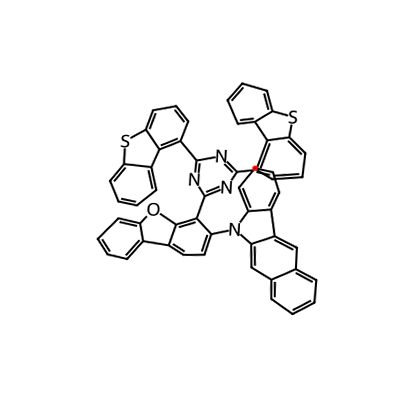 c1ccc2cc3c(cc2c1)c1ccccc1n3-c1ccc2c(oc3ccccc32)c1-c1nc(-c2cccc3sc4ccccc4c23)nc(-c2cccc3sc4ccccc4c23)n1